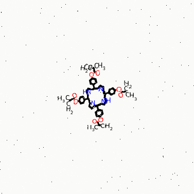 C=C(C)C(=O)Oc1ccc(-c2c3nc(c(-c4ccc(OC(=O)C(=C)C)cc4)c4ccc([nH]4)c(-c4ccc(OC(=O)C(=C)C)cc4)c4nc(c(-c5ccc(OC(=O)C(=C)C)cc5)c5ccc2[nH]5)C=C4)C=C3)cc1.[Cu]